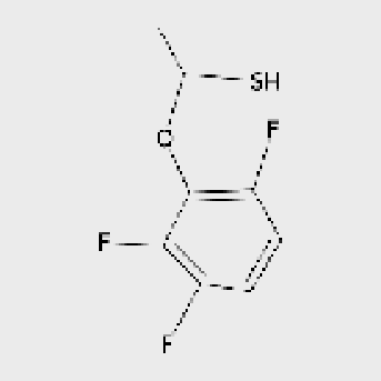 CC(S)Oc1c(F)ccc(F)c1F